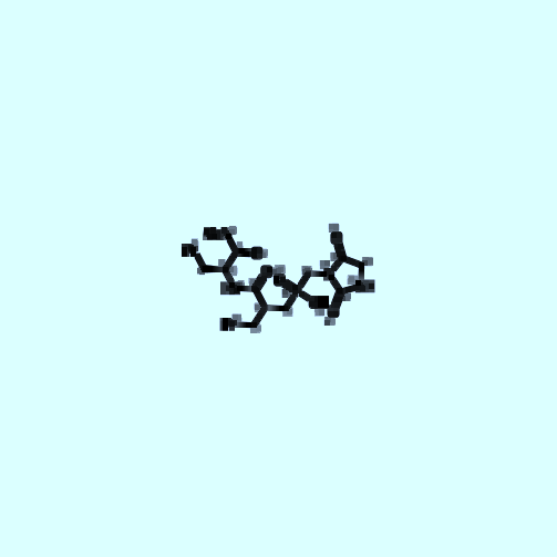 CNC(=O)[C@H](CC(C)C)NC(=O)C(CC(C)C)CP(=O)(O)CN1C(=O)CNC1=O